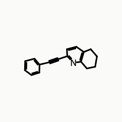 C(#Cc1ccc2c(n1)CCCC2)c1ccccc1